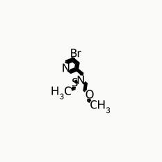 CCOCCN(Cc1cncc(Br)c1)SCC